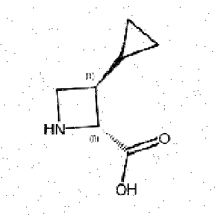 O=C(O)[C@@H]1NC[C@H]1C1CC1